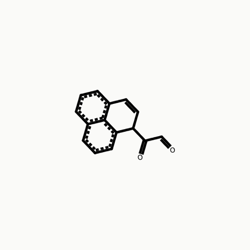 O=CC(=O)C1C=Cc2cccc3cccc1c23